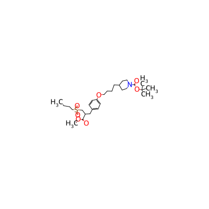 CCCCS(=O)(=O)CC(Cc1ccc(OCCCCC2CCN(C(=O)OC(C)(C)C)CC2)cc1)C(=O)OC